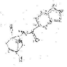 O=C(N[C@@H]1C[C@H]2CC[C@@H]1N2)c1ccc2cncn2c1